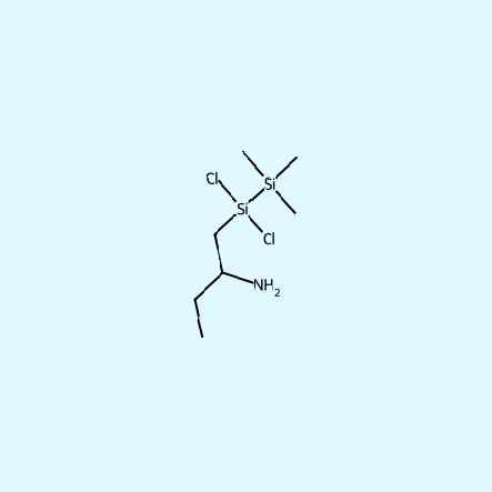 CCC(N)C[Si](Cl)(Cl)[Si](C)(C)C